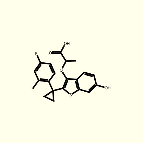 Cc1cc(F)ccc1C1(c2sc3cc(O)ccc3c2OC(C)C(=O)O)CC1